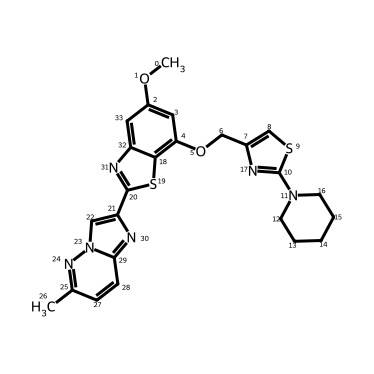 COc1cc(OCc2csc(N3CCCCC3)n2)c2sc(-c3cn4nc(C)ccc4n3)nc2c1